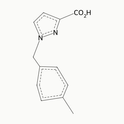 Cc1ccc(Cn2ccc(C(=O)O)n2)cc1